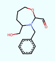 O=CC1OCCCC(CO)N1Cc1ccccc1